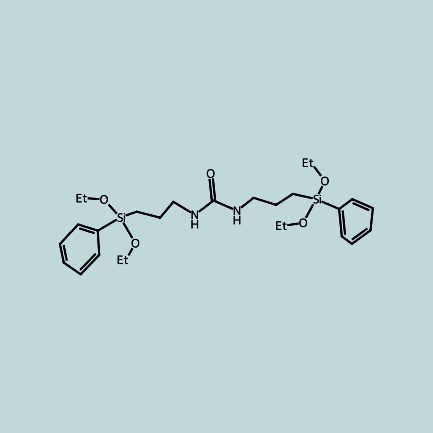 CCO[Si](CCCNC(=O)NCCC[Si](OCC)(OCC)c1ccccc1)(OCC)c1ccccc1